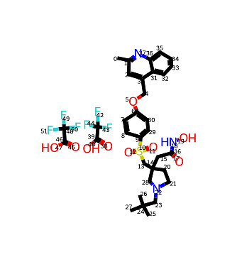 Cc1cc(COc2ccc(S(=O)(=O)CC3(CC(=O)NO)CCN(CC(C)(C)C)C3)cc2)c2ccccc2n1.O=C(O)C(F)(F)F.O=C(O)C(F)(F)F